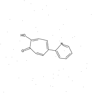 O=c1ccc(-c2ccccn2)ccc1O